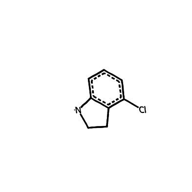 Clc1cccc2c1CC[N]2